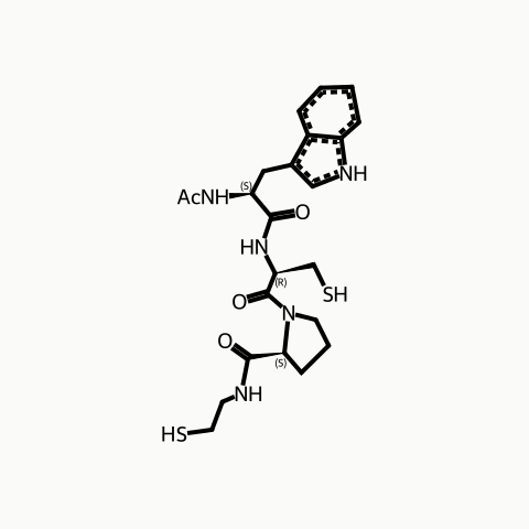 CC(=O)N[C@@H](Cc1c[nH]c2ccccc12)C(=O)N[C@@H](CS)C(=O)N1CCC[C@H]1C(=O)NCCS